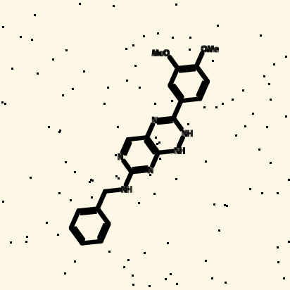 COc1ccc(C2=Nc3cnc(NCc4ccccc4)nc3NN2)cc1OC